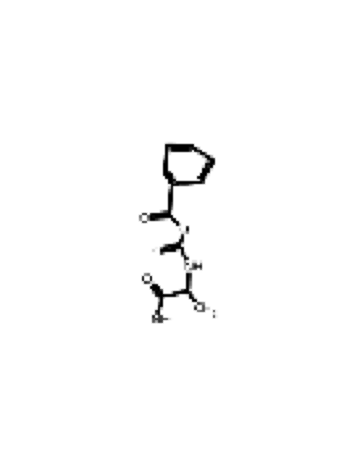 CC(NC(=O)OC(=O)c1ccccc1)C([NH])=O